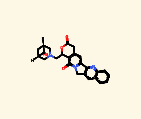 O=C1Cc2cc3n(c(=O)c2C(CN2C[C@H]4C[C@@H](C2)C4O)O1)Cc1cc2ccccc2nc1-3